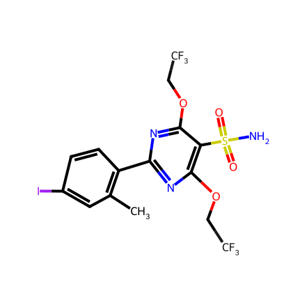 Cc1cc(I)ccc1-c1nc(OCC(F)(F)F)c(S(N)(=O)=O)c(OCC(F)(F)F)n1